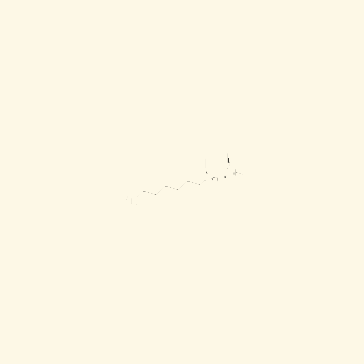 C[SiH](C)ONCCCCCCC(C)(C)C